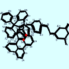 C=C1CC(C)CC(CCc2ccc(N(c3ccc(-c4cccc5cccc(-c6ccccc6)c45)cc3)c3ccccc3C3(c4ccccc4)c4ccccc4-c4ccccc43)cc2)C1